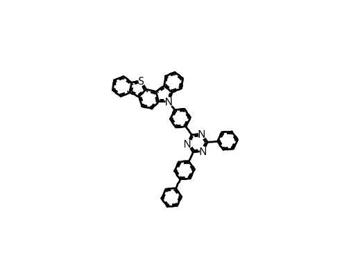 c1ccc(-c2ccc(-c3nc(-c4ccccc4)nc(-c4ccc(-n5c6ccccc6c6c7sc8ccccc8c7ccc65)cc4)n3)cc2)cc1